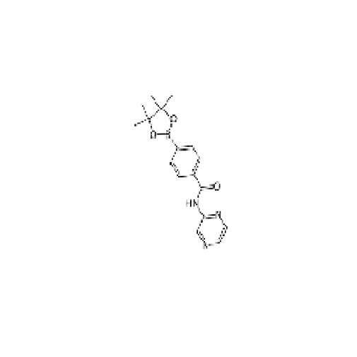 CC1(C)OB(c2ccc(C(=O)Nc3cnccn3)cc2)OC1(C)C